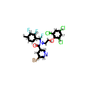 Cc1ccc(C(F)N(CCOc2c(Cl)cc(Cl)cc2Cl)C(=O)c2cncc(Br)c2)c(F)c1F